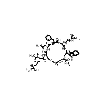 CC(=O)N[C@@H](CCCNC(=N)N)C(=O)NC1CCCNC(=O)CCC(C(N)=O)NC(=O)[C@H](Cc2c[nH]c3ccccc23)NC(=O)[C@H](CCCNC(=N)N)NC(=O)C(Cc2ccccc2)NC(=O)[C@H](CC(N)=O)NC1=O